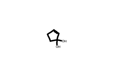 OC1(O)C=CCC1